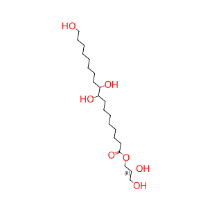 O=C(CCCCCCCC(O)C(O)CCCCCCCCO)OC[C@H](O)CO